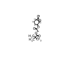 CC(C)(C(=O)OCC(=O)OC1CCC2CC1OC2=O)C(F)(F)F